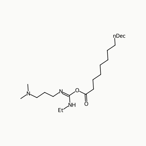 CCCCCCCCCCCCCCCCCC(=O)OC(=NCCCN(C)C)NCC